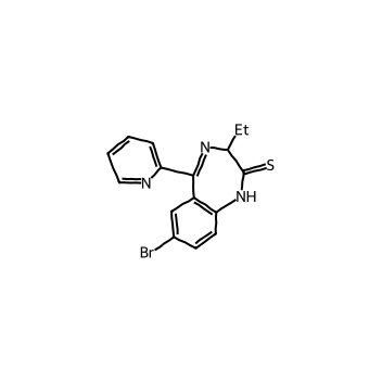 CCC1N=C(c2ccccn2)c2cc(Br)ccc2NC1=S